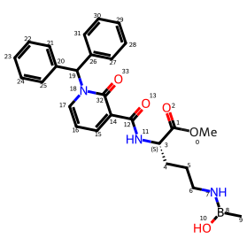 COC(=O)[C@H](CCCNB(C)O)NC(=O)c1cccn(C(c2ccccc2)c2ccccc2)c1=O